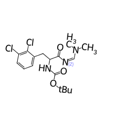 CN(C)/C=N\C(=O)C(Cc1cccc(Cl)c1Cl)NC(=O)OC(C)(C)C